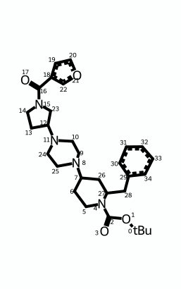 CC(C)(C)OC(=O)N1CCC(N2CCN(C3CCN(C(=O)c4ccoc4)C3)CC2)CC1Cc1ccccc1